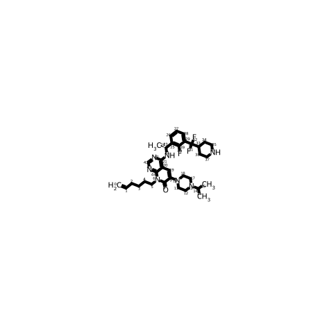 C=CCCCCn1c(=O)c(N2CCN(C(C)C)CC2)cc2c(N[C@H](C)c3cccc(C(F)(F)C4CCNCC4)c3F)ncnc21